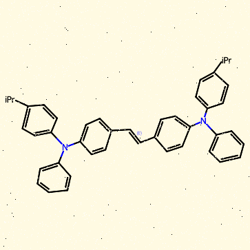 CC(C)c1ccc(N(c2ccccc2)c2ccc(/C=C/c3ccc(N(c4ccccc4)c4ccc(C(C)C)cc4)cc3)cc2)cc1